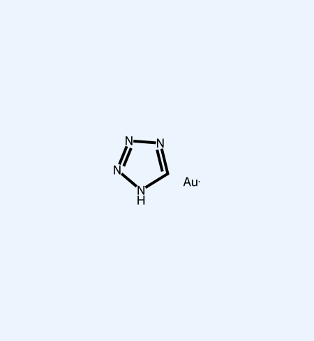 [Au].c1nnn[nH]1